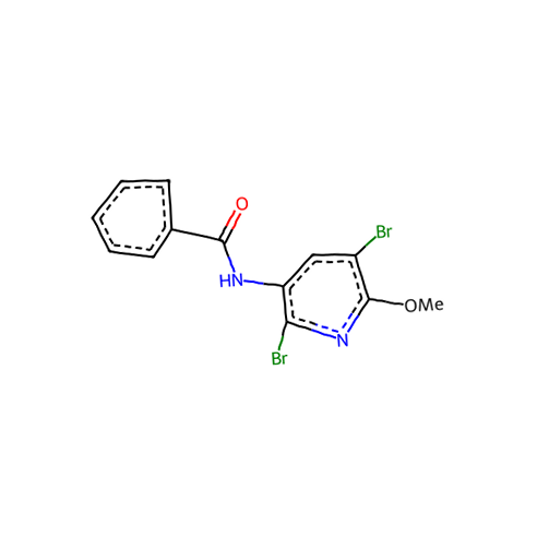 COc1nc(Br)c(NC(=O)c2ccccc2)cc1Br